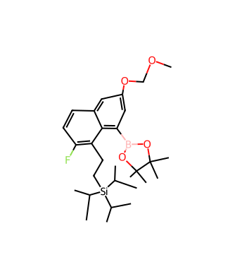 COCOc1cc(B2OC(C)(C)C(C)(C)O2)c2c(CC[Si](C(C)C)(C(C)C)C(C)C)c(F)ccc2c1